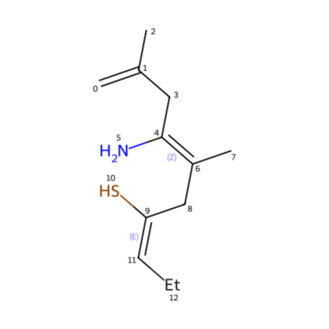 C=C(C)C/C(N)=C(\C)C/C(S)=C\CC